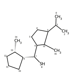 CC(C)C1CCC(C(S)[C@@H]2CCC[C@@H]2C)C1C